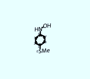 CSc1ccc(NO)cc1